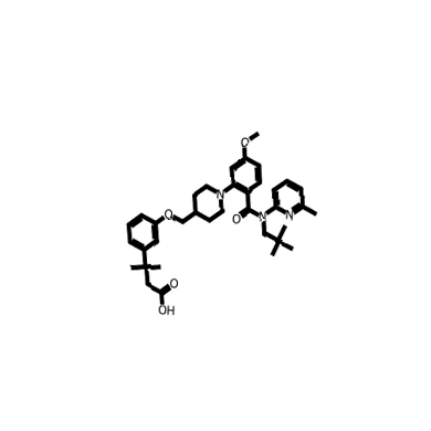 COc1ccc(C(=O)N(CC(C)(C)C)c2cccc(C)n2)c(N2CCC(COc3cccc(C(C)(C)CC(=O)O)c3)CC2)c1